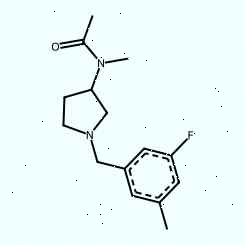 CC(=O)N(C)C1CCN(Cc2cc(C)cc(F)c2)C1